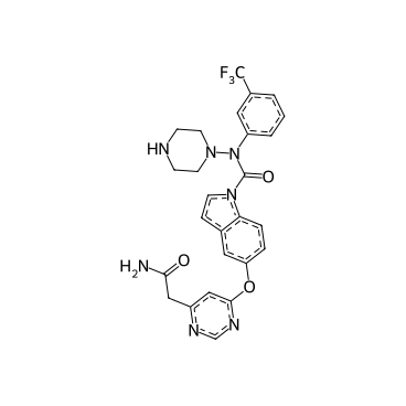 NC(=O)Cc1cc(Oc2ccc3c(ccn3C(=O)N(c3cccc(C(F)(F)F)c3)N3CCNCC3)c2)ncn1